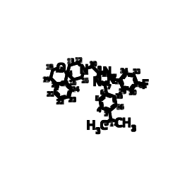 CC(C)c1ccc(-c2nc(CN3CCC4(CC3)OCCc3ccccc34)nn2-c2ccc(F)cc2)cc1